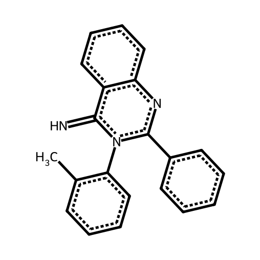 Cc1ccccc1-n1c(-c2ccccc2)nc2ccccc2c1=N